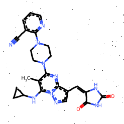 Cc1c(N2CCN(c3ncccc3C#N)CC2)nc2c(C=C3NC(=O)NC3=O)cnn2c1NC1CC1